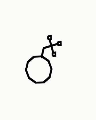 ClC(Cl)(Cl)C[C]1CCCCCCCCC1